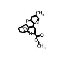 CCOC(=O)c1cc(-c2ncc(C)cc2F)c2c(n1)C1CCC(C2)O1